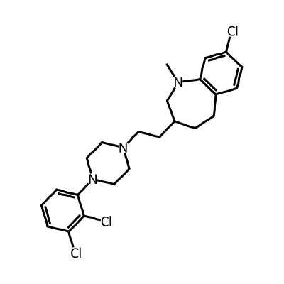 CN1CC(CCN2CCN(c3cccc(Cl)c3Cl)CC2)CCc2ccc(Cl)cc21